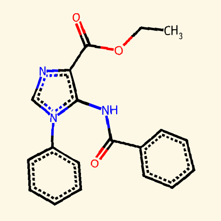 CCOC(=O)c1ncn(-c2ccccc2)c1NC(=O)c1ccccc1